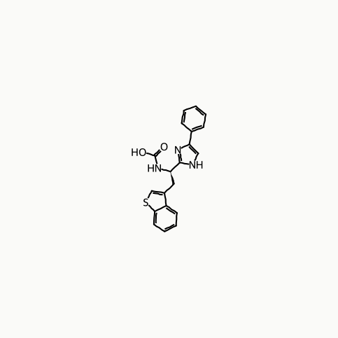 O=C(O)N[C@H](Cc1csc2ccccc12)c1nc(-c2ccccc2)c[nH]1